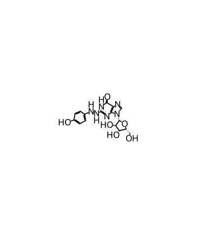 O=c1[nH]c(NNc2ccc(O)cc2)nc2c1ncn2[C@@H]1O[C@H](CO)[C@@H](O)[C@H]1O